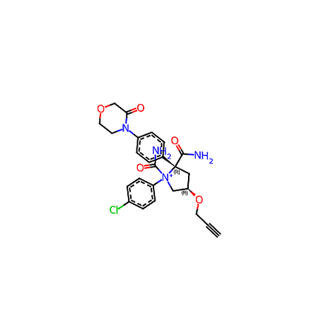 C#CCO[C@@H]1C[C@](C(N)=O)(c2ccc(N3CCOCC3=O)cc2)[N+](C(N)=O)(c2ccc(Cl)cc2)C1